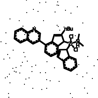 CCCCC1=Cc2c(-c3cnc4ccccc4c3)cccc2[CH]1[Zr]([Cl])([Cl])([CH]1C=Cc2ccccc21)[SiH](C)C